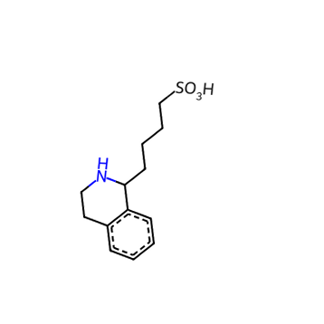 O=S(=O)(O)CCCCC1NCCc2ccccc21